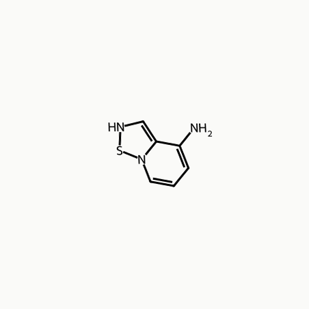 NC1=CC=CN2SNC=C12